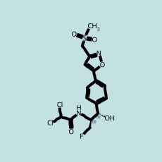 CS(=O)(=O)Cc1cc(-c2ccc([C@H](O)[C@@H](CF)NC(=O)C(Cl)Cl)cc2)on1